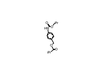 CC(C)OC(=O)Nc1ccc(COC(=O)C(C)C)cc1